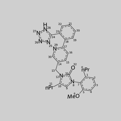 CCCc1cccc(OC)c1-n1cc(CCC)n(Cc2ccc(-c3ccccc3-c3nnn[nH]3)nc2)c1=O